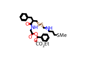 CCOC(=O)OC(OC(=O)CNC(=O)C(CSSCNCCCSC)Cc1ccccc1)c1ccccc1